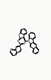 c1ccc2cc3c(cc2c1)c1ccccc1n3-c1nc(-c2ccc3cccnc3c2)nc2sc3ccccc3c12